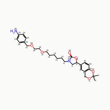 CC1(C)OCc2cc(C3CN(CCCCCCOCCOCc4ccc(N)cc4)C(=O)O3)ccc2O1